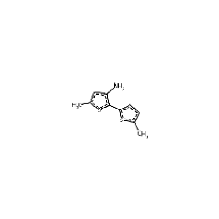 Cc1ccc(-c2sc(C)cc2N)s1